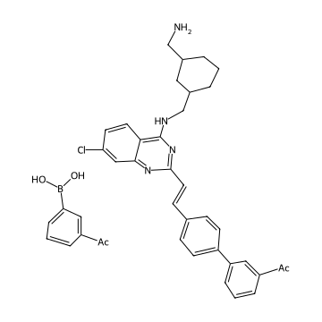 CC(=O)c1cccc(-c2ccc(C=Cc3nc(NCC4CCCC(CN)C4)c4ccc(Cl)cc4n3)cc2)c1.CC(=O)c1cccc(B(O)O)c1